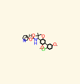 COc1ccc(Cl)c(-c2cc3c(cc2OC)C(NC(=O)O[C@H]2CN4CCC2CC4)C(C)(C)CO3)c1